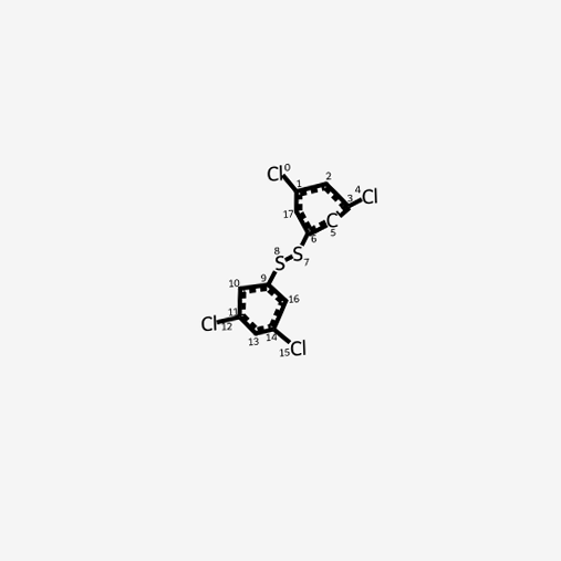 Clc1cc(Cl)cc(SSc2cc(Cl)cc(Cl)c2)c1